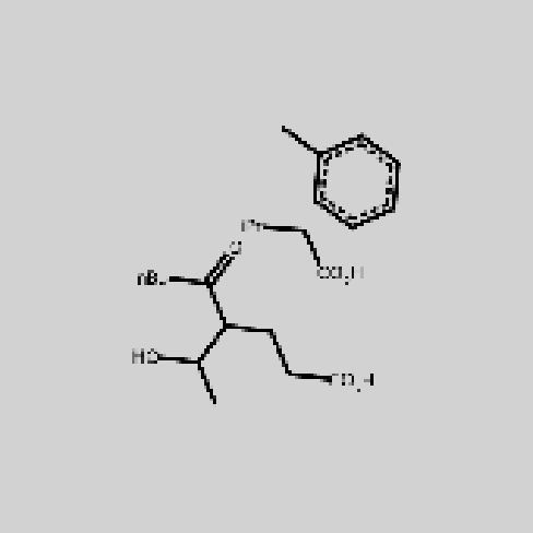 CC(C)CC(=O)O.CCCCC(=O)C(CCC(=O)O)C(C)O.Cc1ccccc1